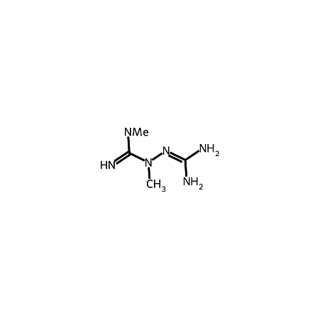 CNC(=N)N(C)N=C(N)N